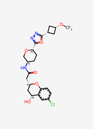 O=C(C[C@H]1C[C@@H](O)c2cc(Cl)ccc2O1)N[C@@H]1CC[C@@H](c2nnc([C@H]3C[C@@H](OC(F)(F)F)C3)o2)OC1